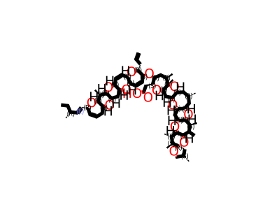 C=CC[C@H]1O[C@H]2C=C[C@H]3O[C@H]4[C@H](C)[C@H]5O[C@@H](/C=C/[C@H](C)CC)C=CC[C@@H]5O[C@@H]4C[C@@H]3O[C@@H]2C=C[C@@H]1O[C@@H]1C[C@@H](C)[C@]2(C)O[C@@H]3C[C@H](C)C[C@@H]4O[C@H]5[C@H](C[C@H]4O[C@H]3C[C@H]2O[C@H]1CC(=O)O)O[C@@H]1[C@@H](C)[C@H](C)[C@@]2(C[C@H](C)CO2)O[C@H]1C(C)[C@@H]5C